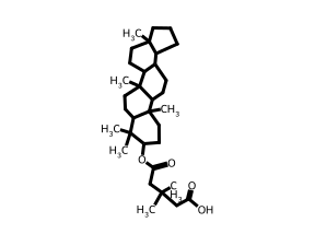 CC(C)(CC(=O)O)CC(=O)OC1CCC2(C)C(CCC3(C)C4CCC5(C)CCCC5C4CCC32)C1(C)C